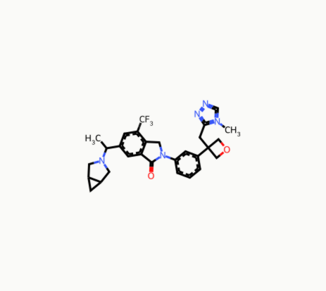 CC(c1cc2c(c(C(F)(F)F)c1)CN(c1cccc(C3(Cc4nncn4C)COC3)c1)C2=O)N1CC2CC2C1